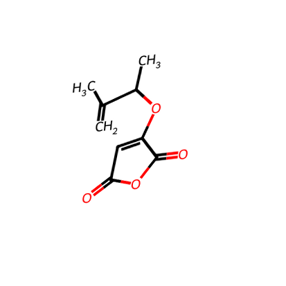 C=C(C)C(C)OC1=CC(=O)OC1=O